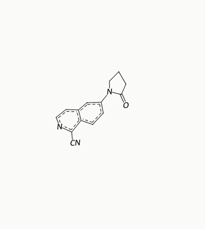 N#Cc1nccc2cc(N3CCCC3=O)ccc12